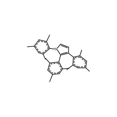 Cc1cc(C)c(C2=C(c3c(C)cc(C)cc3C)[SiH](c3c(C)cc(C)cc3C)C=C2)c(C)c1